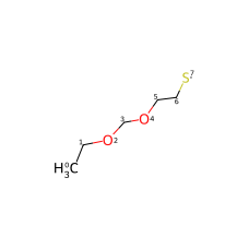 CCOCOCC[S]